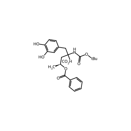 C[C@@H](CC(Cc1ccc(O)c(O)c1)(NC(=O)OC(C)(C)C)C(=O)O)OC(=O)c1ccccc1